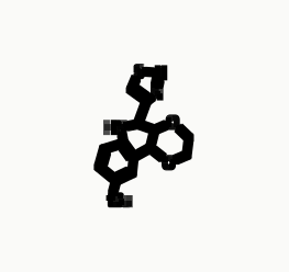 CC(C)(C)c1ccc2c(c1)C1OCCOC1C(c1csnn1)N2